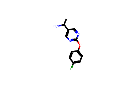 CC(N)c1cnc(Oc2ccc(F)cc2)nc1